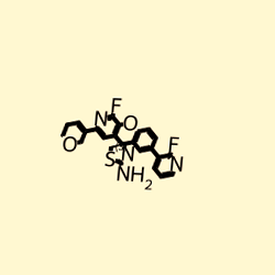 NC1=N[C@@]2(CS1)c1cc(-c3cccnc3F)ccc1Oc1c2cc(C2=CCCOC2)nc1F